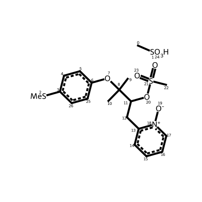 CS(=O)(=O)O.CSc1ccc(OC(C)(C)C(Cc2cccc[n+]2[O-])OS(C)(=O)=O)cc1